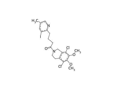 COc1c(Cl)c2c(c(Cl)c1OC)CN(C(=O)CCCc1ncc(C)cc1I)CC2